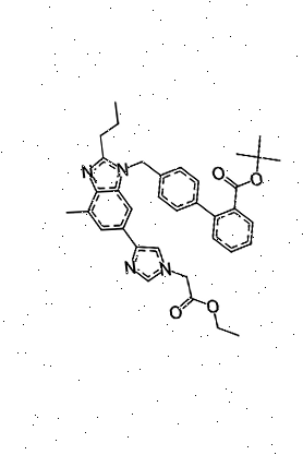 CCCc1nc2c(C)cc(-c3cn(CC(=O)OCC)cn3)cc2n1Cc1ccc(-c2ccccc2C(=O)OC(C)(C)C)cc1